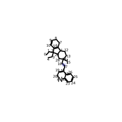 CCC1(CC)C2=C(CCC=C2)C2CCC(I)(/C=C/c3ccnc4ccccc34)CC21